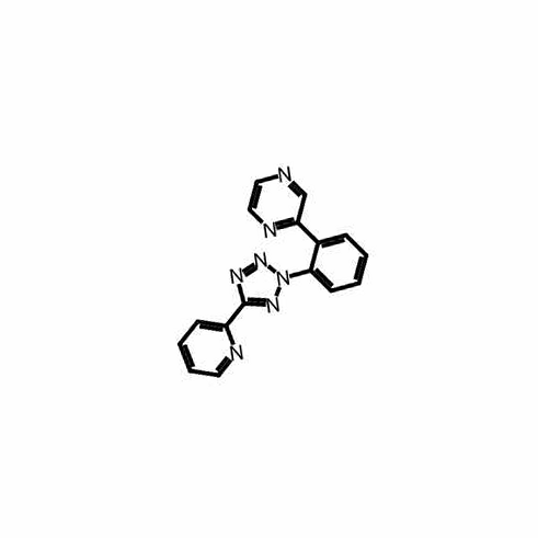 c1ccc(-c2nnn(-c3ccccc3-c3cnccn3)n2)nc1